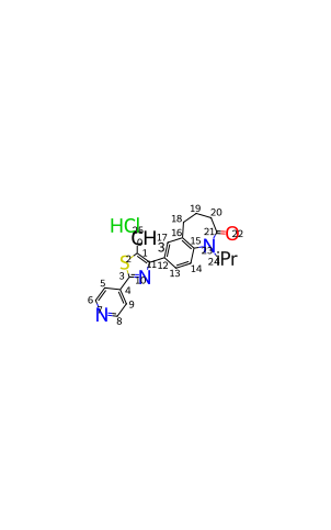 Cc1sc(-c2ccncc2)nc1-c1ccc2c(c1)CCCC(=O)N2C(C)C.Cl